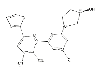 N#Cc1c(N)cc(-c2nccs2)nc1-c1cc(Cl)cc(N2CC[C@@H](O)C2)n1